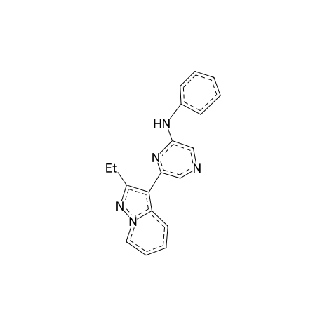 CCc1nn2ccccc2c1-c1cncc(Nc2ccccc2)n1